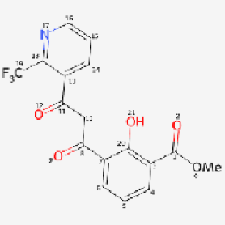 COC(=O)c1cccc(C(=O)CC(=O)c2cccnc2C(F)(F)F)c1O